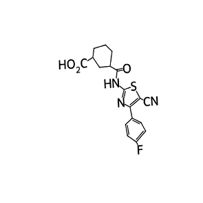 N#Cc1sc(NC(=O)C2CCCC(C(=O)O)C2)nc1-c1ccc(F)cc1